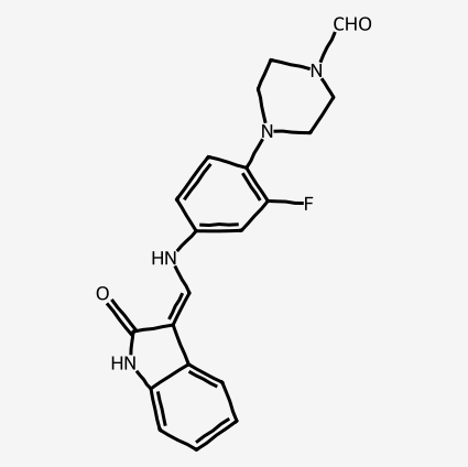 O=CN1CCN(c2ccc(NC=C3C(=O)Nc4ccccc43)cc2F)CC1